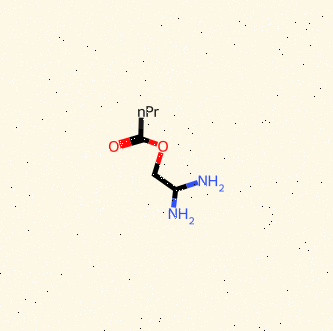 CCCC(=O)OCC(N)N